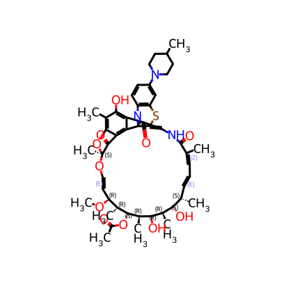 CO[C@H]1/C=C/O[C@@]2(C)Oc3c(C)c(O)c4c(=O)c(c5sc6cc(N7CCC(C)CC7)ccc6nc-5c4c3C2=O)NC(=O)/C(C)=C\C=C\[C@H](C)[C@H](O)[C@@H](C)[C@@H](O)[C@@H](C)[C@H](OC(C)=O)[C@@H]1C